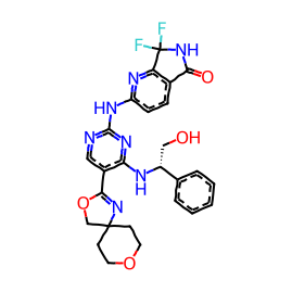 O=C1NC(F)(F)c2nc(Nc3ncc(C4=NC5(CCOCC5)CO4)c(N[C@H](CO)c4ccccc4)n3)ccc21